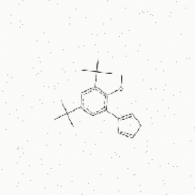 COc1c(C2=[C]CC=C2)cc(C(C)(C)C)cc1C(C)(C)C